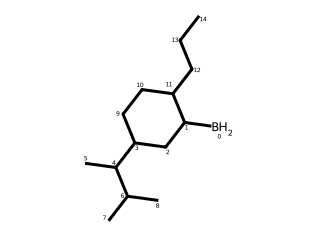 BC1CC(C(C)C(C)C)CCC1CCC